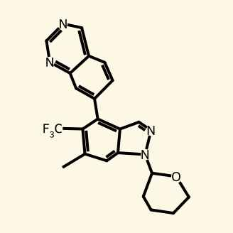 Cc1cc2c(cnn2C2CCCCO2)c(-c2ccc3cncnc3c2)c1C(F)(F)F